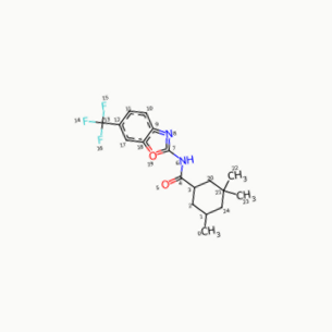 CC1CC(C(=O)Nc2nc3ccc(C(F)(F)F)cc3o2)CC(C)(C)C1